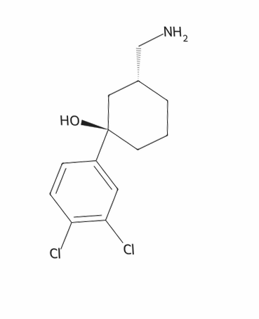 NC[C@@H]1CCC[C@](O)(c2ccc(Cl)c(Cl)c2)C1